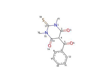 CN1C(=O)C(C(=O)c2ccccc2)C(=O)N(C)C1=S